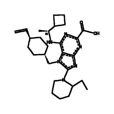 C=C[C@H]1CC[C@H](Cn2c(N3CCCCC3CC)nc3nc(C(=O)O)nc(N[C@H](C)C4CCC4)c32)CC1